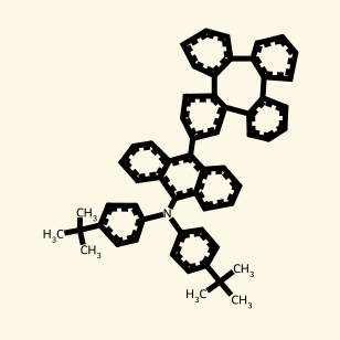 CC(C)(C)c1ccc(N(c2ccc(C(C)(C)C)cc2)c2c3ccccc3c(-c3ccc4c(c3)-c3ccccc3-c3ccccc3-c3ccccc3-4)c3ccccc23)cc1